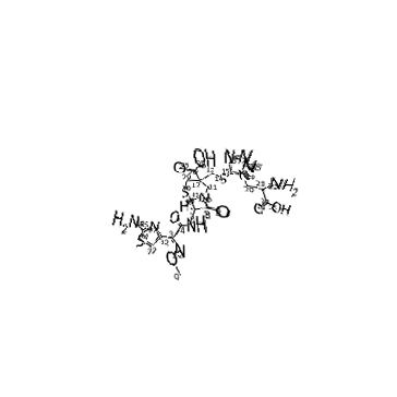 CON=C(C(=O)NC1C(=O)N2CC(CSc3nnnn3CC(N)C(=O)O)(C(=O)O)CS[C@H]12)c1csc(N)n1